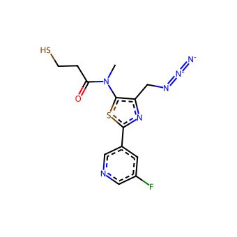 CN(C(=O)CCS)c1sc(-c2cncc(F)c2)nc1CN=[N+]=[N-]